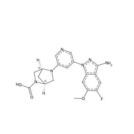 COc1cc2c(cc1F)c(N)nn2-c1cncc(N2C[C@@H]3C[C@H]2CN3C(=O)O)c1